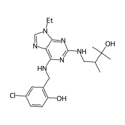 CCn1cnc2c(NCc3cc(Cl)ccc3O)nc(NCC(C)C(C)(C)O)nc21